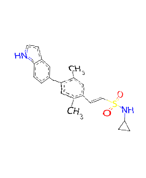 Cc1cc(-c2ccc3[nH]ccc3c2)c(C)cc1/C=C/S(=O)(=O)NC1CC1